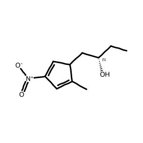 CC[C@H](O)CC1C=C([N+](=O)[O-])C=C1C